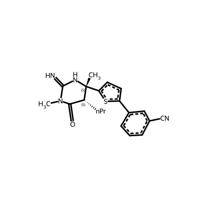 CCC[C@@H]1C(=O)N(C)C(=N)N[C@]1(C)c1ccc(-c2cccc(C#N)c2)s1